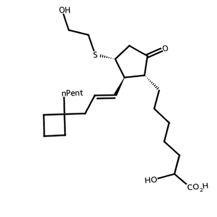 CCCCCC1(CC=C[C@H]2[C@H](SCCO)CC(=O)[C@@H]2CCCCCC(O)C(=O)O)CCC1